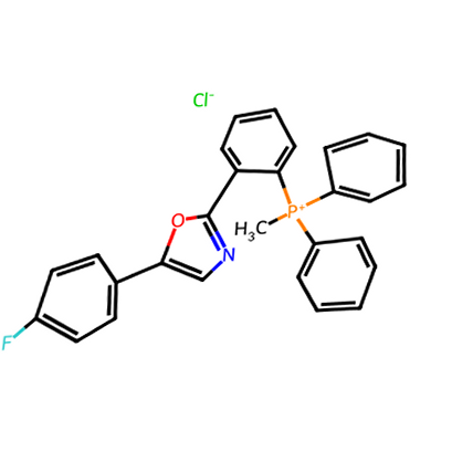 C[P+](c1ccccc1)(c1ccccc1)c1ccccc1-c1ncc(-c2ccc(F)cc2)o1.[Cl-]